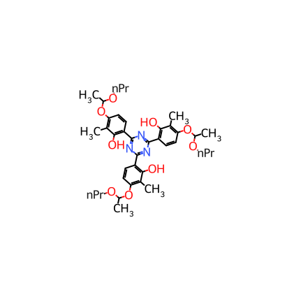 CCCOC(C)Oc1ccc(-c2nc(-c3ccc(OC(C)OCCC)c(C)c3O)nc(-c3ccc(OC(C)OCCC)c(C)c3O)n2)c(O)c1C